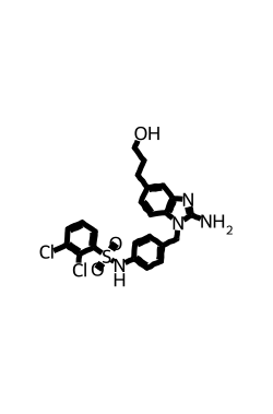 Nc1nc2cc(CCCO)ccc2n1Cc1ccc(NS(=O)(=O)c2cccc(Cl)c2Cl)cc1